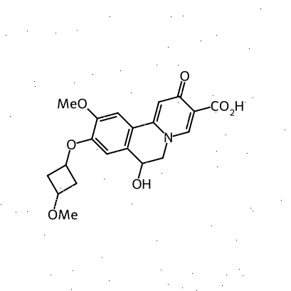 COc1cc2c(cc1OC1CC(OC)C1)C(O)Cn1cc(C(=O)O)c(=O)cc1-2